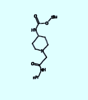 CCCNC(=O)CN1CCC(NC(=O)OC(C)(C)C)CC1